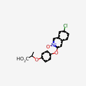 CC(Oc1ccc(Oc2cc3ccc(Cl)cc3c[n+]2[O-])cc1)C(=O)O